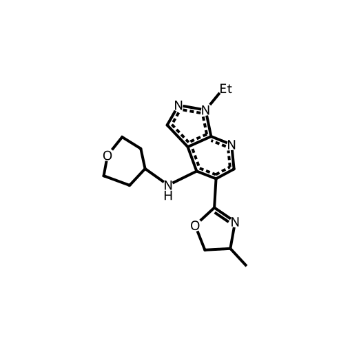 CCn1ncc2c(NC3CCOCC3)c(C3=NC(C)CO3)cnc21